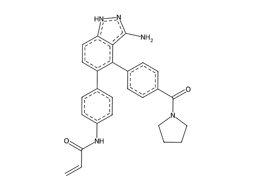 C=CC(=O)Nc1ccc(-c2ccc3[nH]nc(N)c3c2-c2ccc(C(=O)N3CCCC3)cc2)cc1